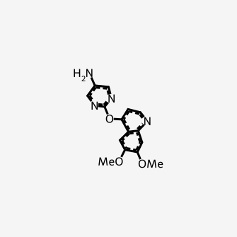 COc1cc2nccc(Oc3ncc(N)cn3)c2cc1OC